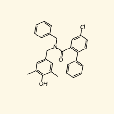 Cc1cc(CN(Cc2ccccc2)C(=O)c2cc(Cl)ccc2-c2ccccc2)cc(C)c1O